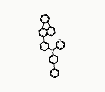 C1=CC(c2ccc3c4c(cccc24)-c2ccccc2-3)=CC(N(C2=CC=C(c3ccccc3)CC2)c2cccnc2)C1